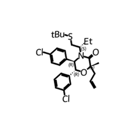 C=CC[C@]1(C)O[C@H](c2cccc(Cl)c2)[C@@H](c2ccc(Cl)cc2)N([C@@H](CC)CSC(C)(C)C)C1=O